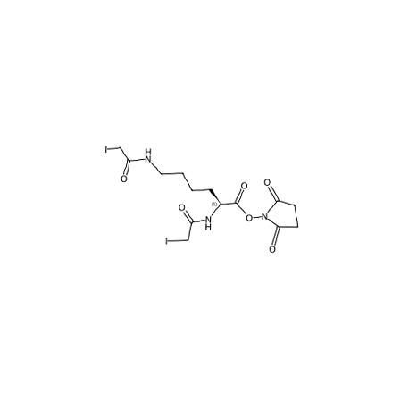 O=C(CI)NCCCC[C@H](NC(=O)CI)C(=O)ON1C(=O)CCC1=O